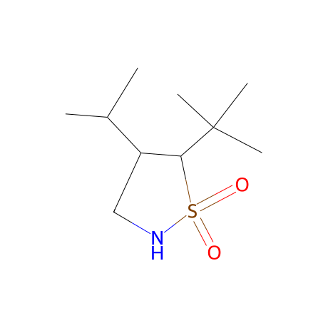 CC(C)C1CNS(=O)(=O)C1C(C)(C)C